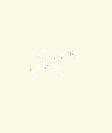 CC1(OCCC(C(=O)Nc2ccc(C(N)=O)cc2)n2cc3c(cc2=O)-c2cc(Cl)ccc2CC(C(F)(F)F)CO3)CCC1